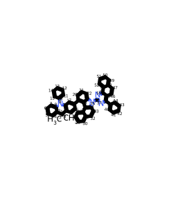 CC1(C)c2ccccc2N(c2ccccc2)c2cc(-c3cccc4c3c3c5ccccc5ccc3n4-c3nc(-c4ccccc4)c4ccc5ccccc5c4n3)ccc21